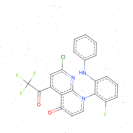 O=C(c1cc(Cl)nc2c1c(=O)ccn2-c1c(F)cccc1Nc1ccccc1)C(F)(F)F